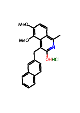 COc1ccc2c(C)nc(O)c(Cc3ccc4ccccc4c3)c2c1OC.Cl